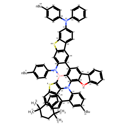 CCCCc1ccc(N2B3c4sc5cc6c(cc5c4N(c4ccc(CCCC)cc4-c4ccccc4)c4c3c(cc3c4oc4ccccc43)-c3cc4c(cc32)sc2cc(N(c3ccccc3)c3ccc(CCCC)cc3)ccc24)C(C)(C)CCC6(C)C)cc1